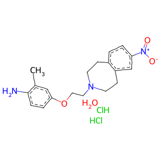 Cc1cc(OCCN2CCc3ccc([N+](=O)[O-])cc3CC2)ccc1N.Cl.Cl.O